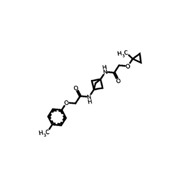 Cc1ccc(OCC(=O)NC23CC(NC(=O)COC4(C)CC4)(C2)C3)cc1